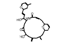 C=C1CC(C)CC2CC=CC(C/C=C\C(=O)NC(C(O)/C=C/C3CC(C)=CCO3)CC3OC3C(O)C1)O2